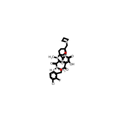 CN(C)C(=O)C(=O)N(C)C12CCC(CN3CCC3)(CC1)Cn1c2nc(C(=O)NCc2cccc(Cl)c2F)c(O)c1=O